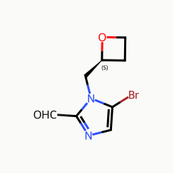 O=Cc1ncc(Br)n1C[C@@H]1CCO1